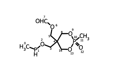 CPOCC1(COC=O)COP(C)(=O)OC1